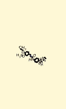 CCCOc1ccc(/C=C/C(=O)Nc2ccc(S(=O)(=O)Nc3nccs3)cc2)cc1OC